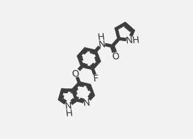 O=C(Nc1ccc(Oc2ccnc3[nH]ccc23)c(F)c1)C1CC=CN1